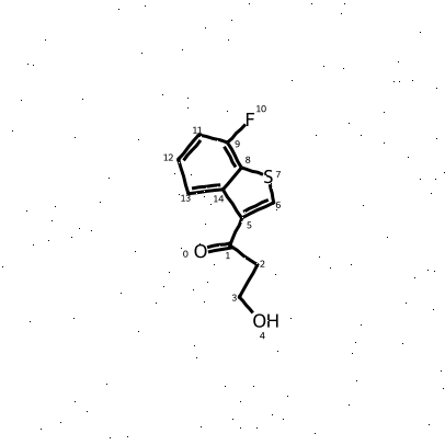 O=C(CCO)c1csc2c(F)cccc12